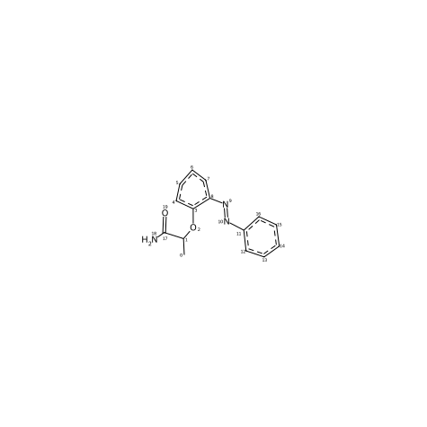 CC(Oc1ccccc1/N=N/c1ccccc1)C(N)=O